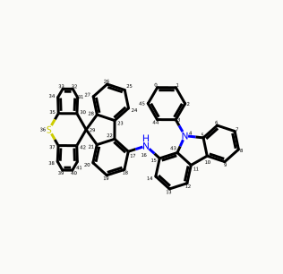 c1ccc(-n2c3ccccc3c3cccc(Nc4cccc5c4-c4ccccc4C54c5ccccc5Sc5ccccc54)c32)cc1